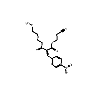 COCCCCC(=O)C(=Cc1ccc([N+](=O)[O-])cc1)C(=O)OCCC#N